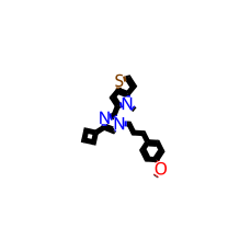 COc1ccc(CCCn2cc(C3CCC3)nc2-c2cc3sccc3n2C)cc1